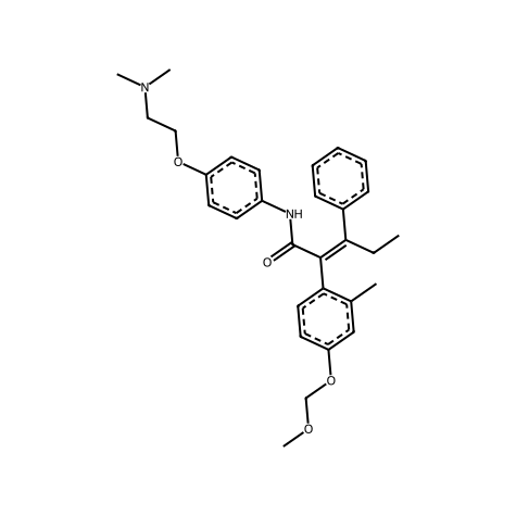 CCC(=C(C(=O)Nc1ccc(OCCN(C)C)cc1)c1ccc(OCOC)cc1C)c1ccccc1